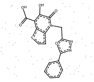 O=C(O)c1c(O)c(=O)n(Cc2nnc(-c3ccccc3)o2)c2ccsc12